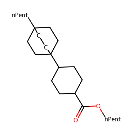 CCCCCOC(=O)C1CCC(C23CCC(CCCCC)(CC2)CC3)CC1